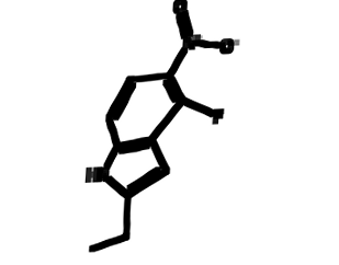 CCc1cc2c(F)c([N+](=O)[O-])ccc2[nH]1